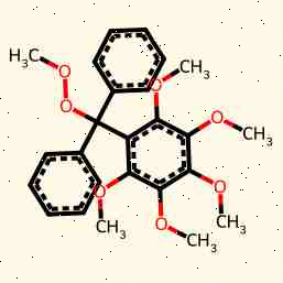 COOC(c1ccccc1)(c1ccccc1)c1c(OC)c(OC)c(OC)c(OC)c1OC